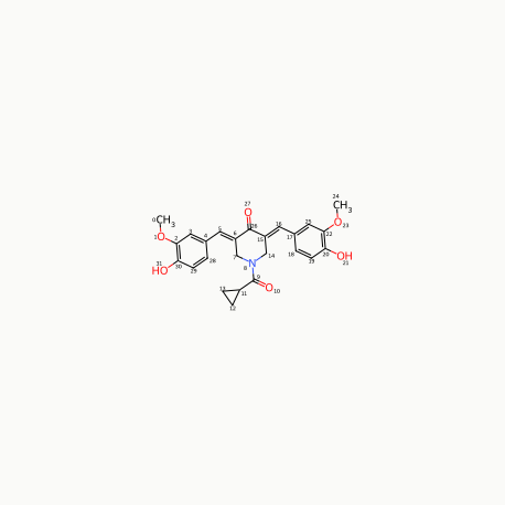 COc1cc(C=C2CN(C(=O)C3CC3)CC(=Cc3ccc(O)c(OC)c3)C2=O)ccc1O